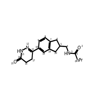 CCCC(=O)NCC1Cc2ccc(C3=NNC(=O)CC3)cc2C1